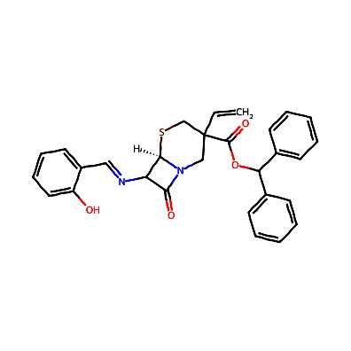 C=CC1(C(=O)OC(c2ccccc2)c2ccccc2)CS[C@@H]2C(N=Cc3ccccc3O)C(=O)N2C1